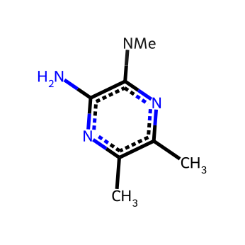 CNc1nc(C)c(C)nc1N